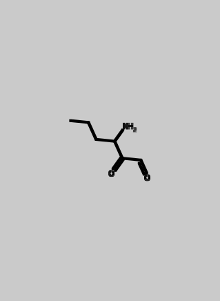 CCCC(N)C(=O)C=O